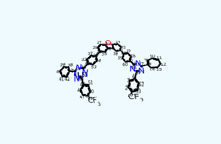 FC(F)(F)c1ccc(-c2nc(C3=CC=CCC=C3)nc(-c3ccc(-c4ccc5oc6ccc(-c7ccc(-c8nc(-c9ccccc9)nc(-c9ccc(C(F)(F)F)cc9)n8)cc7)cc6c5c4)cc3)n2)cc1